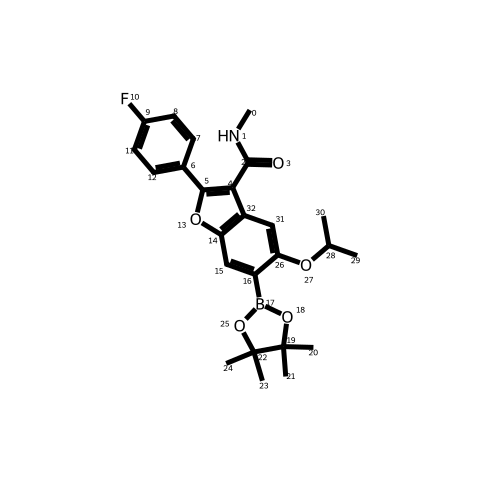 CNC(=O)c1c(-c2ccc(F)cc2)oc2cc(B3OC(C)(C)C(C)(C)O3)c(OC(C)C)cc12